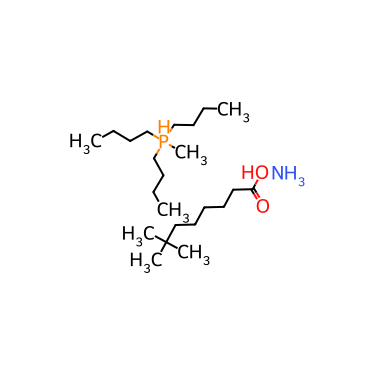 CC(C)(C)CCCCCC(=O)O.CCCC[PH](C)(CCCC)CCCC.N